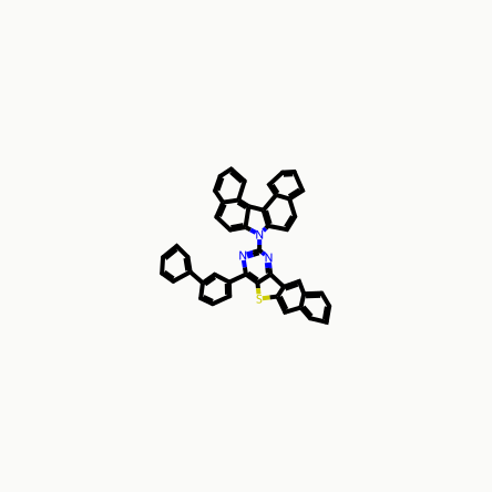 c1ccc(-c2cccc(-c3nc(-n4c5ccc6ccccc6c5c5c6ccccc6ccc54)nc4c3sc3cc5ccccc5cc34)c2)cc1